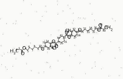 C=CC(=O)OCCCCCCOc1ccc(OC(=O)[C@H]2CC[C@H](C(=O)Oc3ccc(OCCCCCCOC(=O)C=C)cc3Cl)CC2)c(Cl)c1